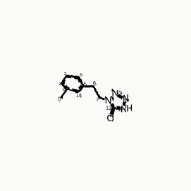 Cc1cccc(CCn2nn[nH]c2=O)c1